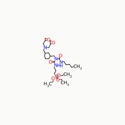 CCCCCNC(=O)N(CC1CCCC(CN(CC2CO2)CC2CO2)C1)C(=O)NCCC[Si](OCC)(OCC)OCC